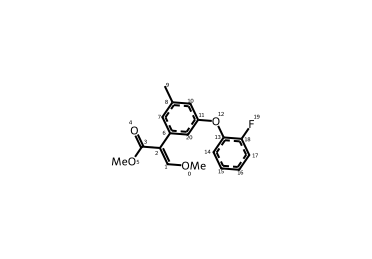 CO/C=C(/C(=O)OC)c1cc(C)cc(Oc2ccccc2F)c1